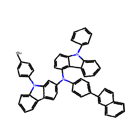 CC(C)(C)c1ccc(-n2c3ccccc3c3ccc(N(c4ccc(-c5ccc6ccccc6c5)cc4)c4cccc5c4c4ccccc4n5-c4ccccc4)cc32)cc1